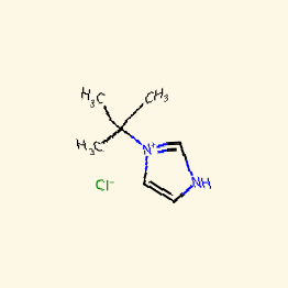 CC(C)(C)[n+]1cc[nH]c1.[Cl-]